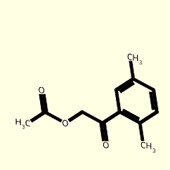 CC(=O)OCC(=O)c1cc(C)ccc1C